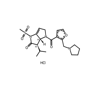 CC(C)[C@H]1C(=O)N(S(C)(=O)=O)C2=CCN(C(=O)c3ccoc3CN3CCCC3)[C@@H]21.Cl